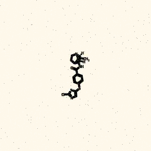 C[C@H]1[C@H](NC(=O)c2ccc(Sc3cnc(Cl)s3)cc2)C2CCN1CC2